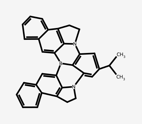 CC(C)c1cc2c3c(c1)N1CCc4c1c(cc1ccccc41)B3c1cc3ccccc3c3c1N2CC3